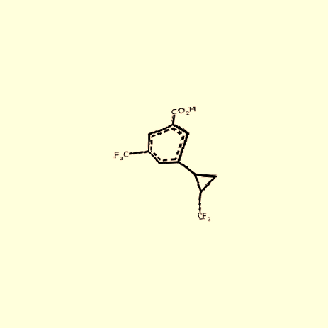 O=C(O)c1cc(C2CC2C(F)(F)F)cc(C(F)(F)F)c1